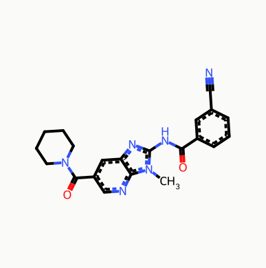 Cn1c(NC(=O)c2cccc(C#N)c2)nc2cc(C(=O)N3CCCCC3)cnc21